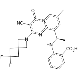 Cc1cc([C@@H](C)Nc2ccccc2C(=O)O)c2nc(N3CC4(C3)CC(F)(F)C4)c(C#N)c(=O)n2c1